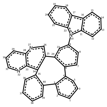 c1ccc2c(c1)-c1ccc(-n3c4ccccc4c4ccccc43)cc1-c1cnc3cccnc3c1-c1ccccc1-2